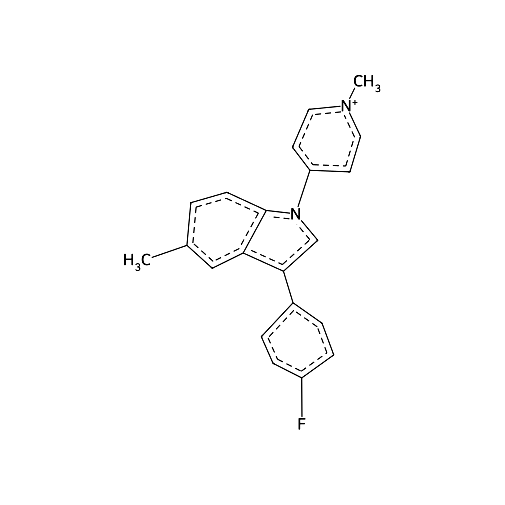 Cc1ccc2c(c1)c(-c1ccc(F)cc1)cn2-c1cc[n+](C)cc1